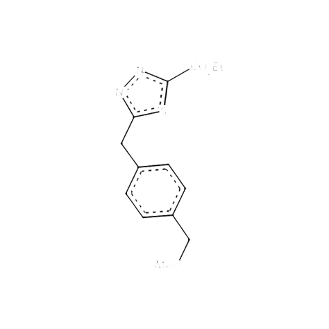 CCOC(=O)c1nnc(Cc2ccc(COC)cc2)s1